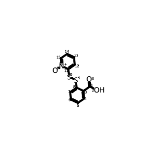 O=C(O)c1ccccc1SSc1cccc[n+]1[O-]